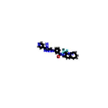 O=C(NCC1CCC2(CCCCCCC2)NC1C(F)(F)F)c1cccc(NCc2nnc(-c3ccncc3)[nH]2)c1